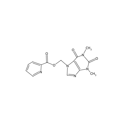 Cn1c(=O)c2c(ncn2COC(=O)c2ccccn2)n(C)c1=O